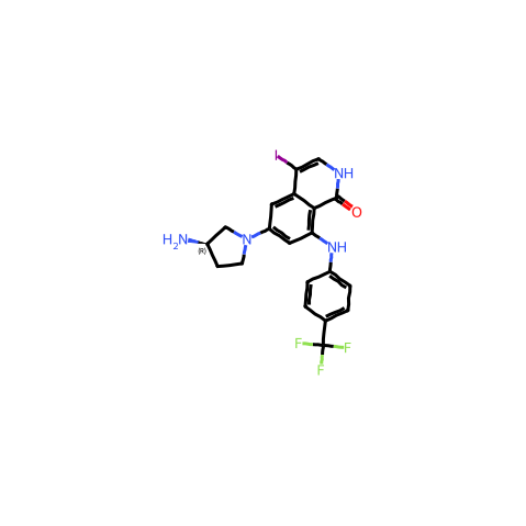 N[C@@H]1CCN(c2cc(Nc3ccc(C(F)(F)F)cc3)c3c(=O)[nH]cc(I)c3c2)C1